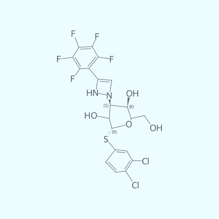 OCC1O[C@H](Sc2ccc(Cl)c(Cl)c2)C(O)[C@@H](n2cc(-c3c(F)c(F)c(F)c(F)c3F)[nH]2)[C@H]1O